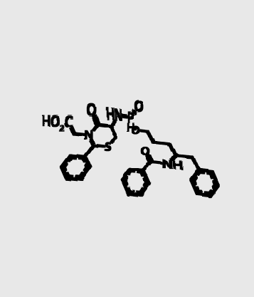 O=C(O)CN1C(=O)C(N[PH](=O)OCCCC(Cc2ccccc2)NC(=O)c2ccccc2)CSC1c1ccccc1